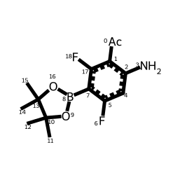 CC(=O)c1c(N)cc(F)c(B2OC(C)(C)C(C)(C)O2)c1F